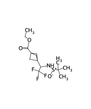 CCOC(=O)C12CC(C(N[S+]([O-])C(C)(C)C)C(F)(F)F)(C1)C2